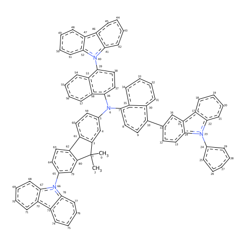 CC1(C)c2cc(N(c3ccc(-c4ccc5c(c4)c4ccccc4n5-c4ccccc4)c4ccccc34)c3ccc(-n4c5ccccc5c5ccccc54)c4ccccc34)ccc2-c2ccc(-n3c4ccccc4c4ccccc43)cc21